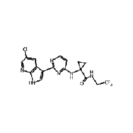 O=C(NCC(F)(F)F)C1(Nc2ccnc(-c3c[nH]c4ncc(Cl)cc34)n2)CC1